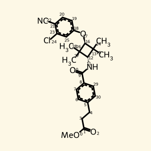 COC(=O)CCc1ccc(C(=O)N[C@H]2C(C)(C)[C@H](Oc3ccc(C#N)c(Cl)c3)C2(C)C)cc1